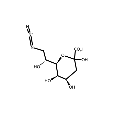 [N-]=[N+]=NC[C@@H](O)[C@H]1OC(O)(C(=O)O)C[C@@H](O)[C@H]1O